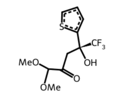 COC(OC)C(=O)C[C@@](O)(c1cccs1)C(F)(F)F